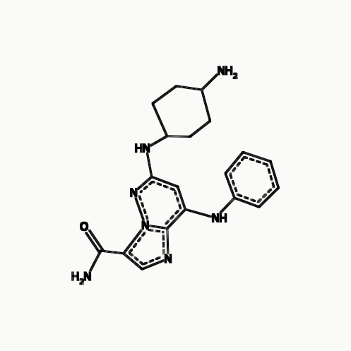 NC(=O)c1cnc2c(Nc3ccccc3)cc(NC3CCC(N)CC3)nn12